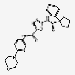 O=C(Nc1ccc(N2CCOCC2)nc1)c1nnc(NC(=O)C2(c3ccccc3)CCCC2)o1